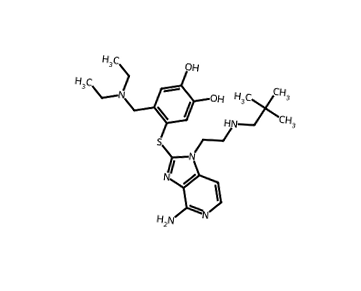 CCN(CC)Cc1cc(O)c(O)cc1Sc1nc2c(N)nccc2n1CCNCC(C)(C)C